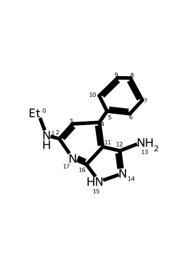 CCNc1cc(-c2ccccc2)c2c(N)n[nH]c2n1